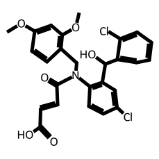 COc1ccc(CN(C(=O)C=CC(=O)O)c2ccc(Cl)cc2C(O)c2ccccc2Cl)c(OC)c1